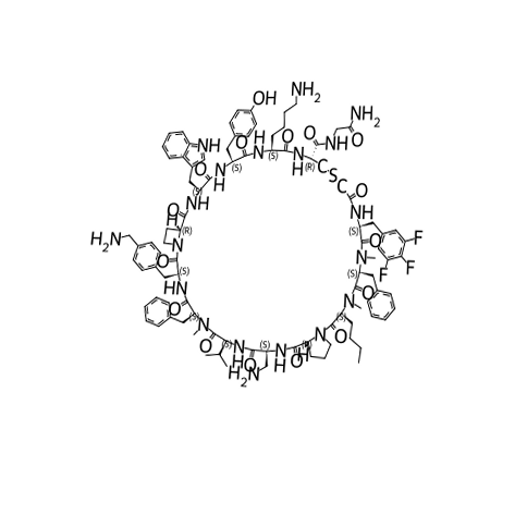 CCCC[C@H]1C(=O)N2CCC[C@@H]2C(=O)N[C@@H](CN)C(=O)N[C@@H](C(C)C)C(=O)N(C)[C@@H](Cc2ccccc2)C(=O)N[C@@H](Cc2ccc(CN)cc2)C(=O)N2CC[C@@H]2C(=O)N[C@@H](Cc2c[nH]c3ccccc23)C(=O)N[C@@H](Cc2ccc(O)cc2)C(=O)N[C@@H](CCCCN)C(=O)N[C@H](C(=O)NCC(N)=O)CSCC(=O)N[C@@H](Cc2cc(F)c(F)c(F)c2)C(=O)N(C)[C@@H](Cc2ccccc2)C(=O)N1C